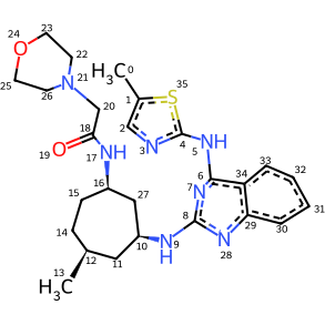 Cc1cnc(Nc2nc(N[C@H]3C[C@@H](C)CC[C@@H](NC(=O)CN4CCOCC4)C3)nc3ccccc23)s1